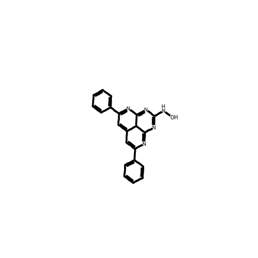 ONC1=NC2=NC(c3ccccc3)=CC3=CC(c4ccccc4)=NC(=N1)C32